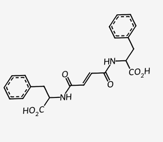 O=C(/C=C/C(=O)NC(Cc1ccccc1)C(=O)O)NC(Cc1ccccc1)C(=O)O